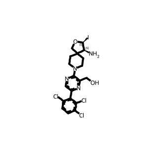 N[C@@H]1[C@H](I)OCC12CCN(c1ncc(-c3c(Cl)ccc(Cl)c3Cl)nc1CO)CC2